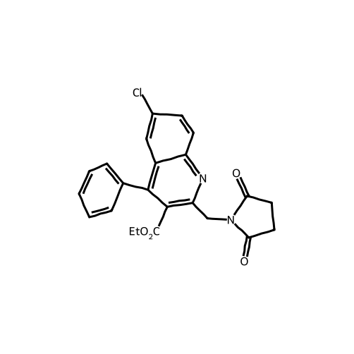 CCOC(=O)c1c(CN2C(=O)CCC2=O)nc2ccc(Cl)cc2c1-c1ccccc1